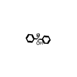 O=[SH](O)(c1ccccc1)c1ccccc1